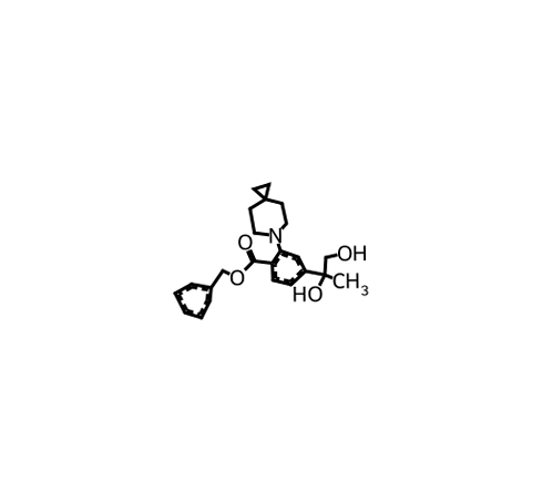 CC(O)(CO)c1ccc(C(=O)OCc2ccccc2)c(N2CCC3(CC2)CC3)c1